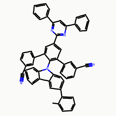 Cc1ccccc1-c1ccc2c(c1)c1ccccc1n2-c1c(-c2cccc(C#N)c2)cc(-c2nc(-c3ccccc3)cc(-c3ccccc3)n2)cc1-c1cccc(C#N)c1